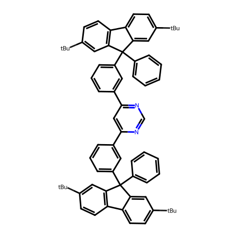 CC(C)(C)c1ccc2c(c1)C(c1ccccc1)(c1cccc(-c3cc(-c4cccc(C5(c6ccccc6)c6cc(C(C)(C)C)ccc6-c6ccc(C(C)(C)C)cc65)c4)ncn3)c1)c1cc(C(C)(C)C)ccc1-2